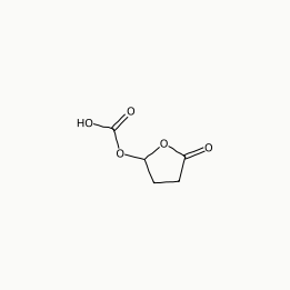 O=C(O)OC1CCC(=O)O1